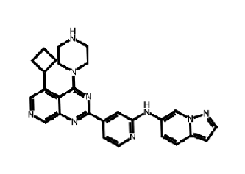 c1cc(-c2nc(N3CCNCC3)c3c(C4CCC4)cncc3n2)cc(Nc2ccc3ccnn3c2)n1